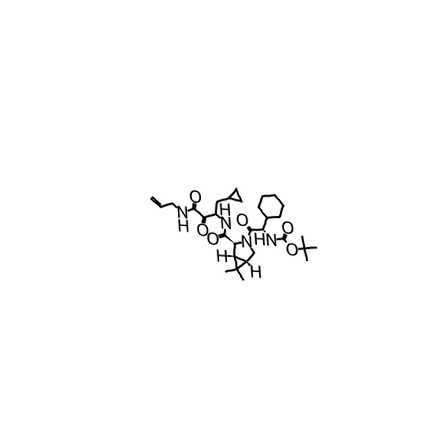 C=CCNC(=O)C(=O)C(CC1CC1)NC(=O)[C@@H]1[C@@H]2[C@H](CN1C(=O)[C@@H](NC(=O)OC(C)(C)C)C1CCCCC1)C2(C)C